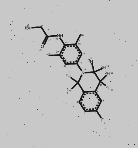 [2H]C1([2H])c2ccc(F)cc2C([2H])([2H])C([2H])([2H])N1c1cc(C)c(NC(=O)CC(C)(C)C)c(C)c1